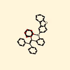 c1ccc(C(=C(c2ccccc2)c2ccccc2N(c2ccccc2)c2ccc3oc4ccccc4c3c2)c2ccccc2)cc1